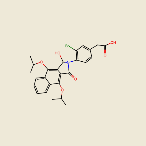 CC(C)Oc1c2c(c(OC(C)C)c3ccccc13)C(O)N(c1ccc(CC(=O)O)cc1Br)C2=O